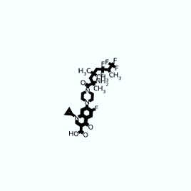 CC(C(F)(F)F)C(F)(F)CC(C)(C)CC(C)(N)C(=O)N1CCN(c2cc3c(cc2F)c(=O)c(C(=O)O)cn3C2CC2)CC1